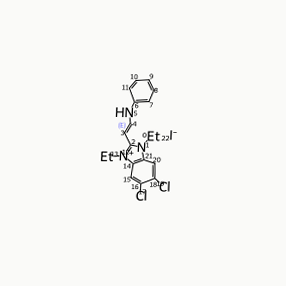 CCn1c(/C=C/Nc2ccccc2)[n+](CC)c2cc(Cl)c(Cl)cc21.[I-]